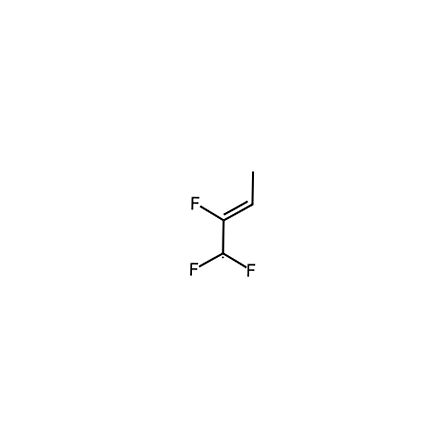 C/C=C(\F)[C](F)F